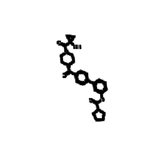 O=C(Oc1cccc(-c2ccc(C(=O)N3CCN(C(=O)C4(O)CC4)CC3)cc2)c1)C1CCCC1